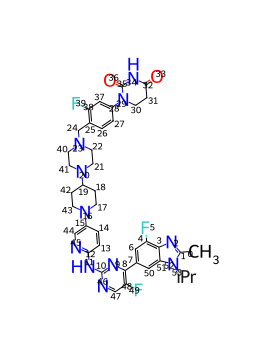 Cc1nc2c(F)cc(-c3nc(Nc4ccc(N5CCC(N6CCN(Cc7ccc(N8CCC(=O)NC8=O)cc7F)CC6)CC5)cn4)ncc3F)cc2n1C(C)C